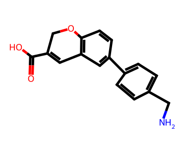 NCc1ccc(-c2ccc3c(c2)C=C(C(=O)O)CO3)cc1